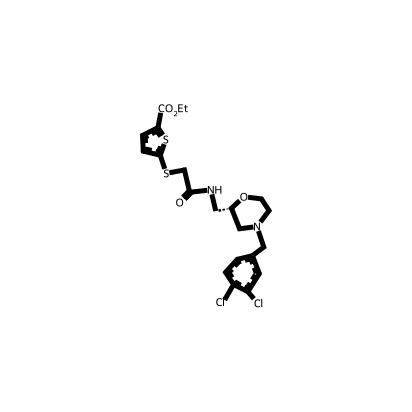 CCOC(=O)c1ccc(SCC(=O)NC[C@H]2CN(Cc3ccc(Cl)c(Cl)c3)CCO2)s1